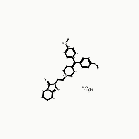 COc1ccc(C(=C2CCN(CCn3nc4n(c3=O)CCCC4)CC2)c2ccc(OC)cc2)cc1.Cl.O